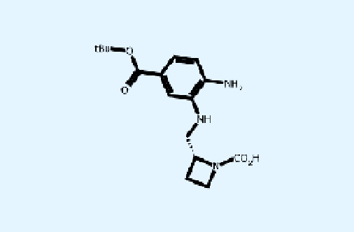 CC(C)(C)OC(=O)c1ccc(N)c(NC[C@H]2CCN2C(=O)O)c1